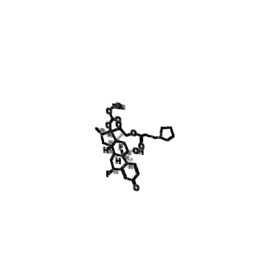 CCCCOC(=O)O[C@]1(C(=O)COC(=O)CCC2CCCC2)[C@H](C)C[C@H]2[C@@H]3C[C@H](F)C4=CC(=O)C=C[C@]4(C)[C@@]3(F)[C@@H](O)C[C@@]21C